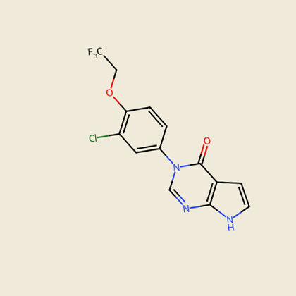 O=c1c2cc[nH]c2ncn1-c1ccc(OCC(F)(F)F)c(Cl)c1